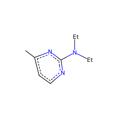 CCN(CC)c1nccc(C)n1